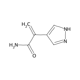 C=C(C(N)=O)c1cn[nH]c1